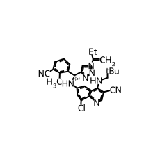 C=C(CC)n1cc([C@@H](Nc2cc(Cl)c3ncc(C#N)c(NCC(C)(C)C)c3c2)c2cccc(C#N)c2C)nn1